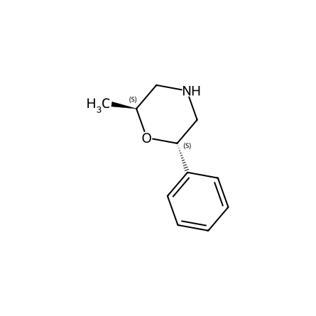 C[C@H]1CNC[C@H](c2ccccc2)O1